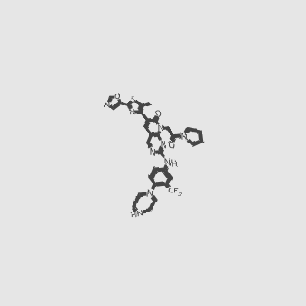 Cc1sc(-c2cnco2)nc1-c1cc2cnc(Nc3ccc(N4CCNCC4)c(C(F)(F)F)c3)nc2n(CC(=O)N2CCCC2)c1=O